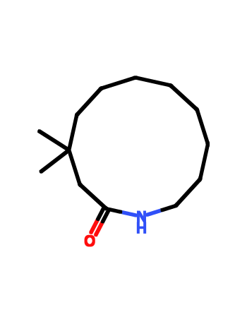 CC1(C)CCCCCCCCNC(=O)C1